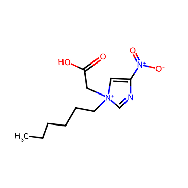 CCCCCC[N+]1(CC(=O)O)C=NC([N+](=O)[O-])=C1